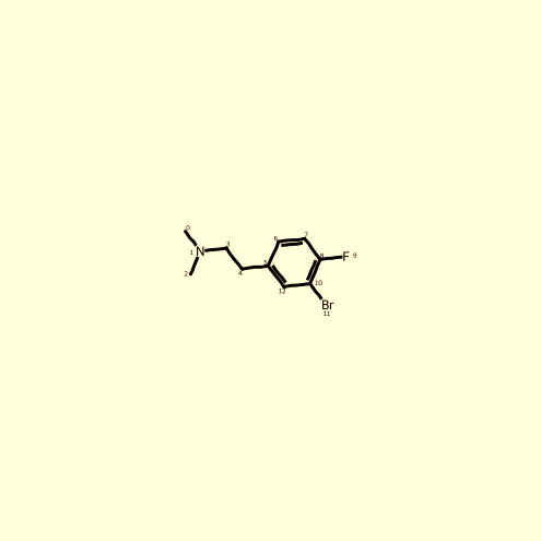 CN(C)CCc1ccc(F)c(Br)c1